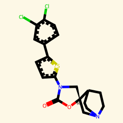 O=C1O[C@]2(CN3CCC2CC3)CN1c1ccc(-c2ccc(Cl)c(Cl)c2)s1